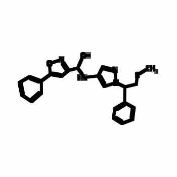 CSCC(c1ccccc1)n1cc(NC(O)c2cc(-c3ccccc3)on2)cn1